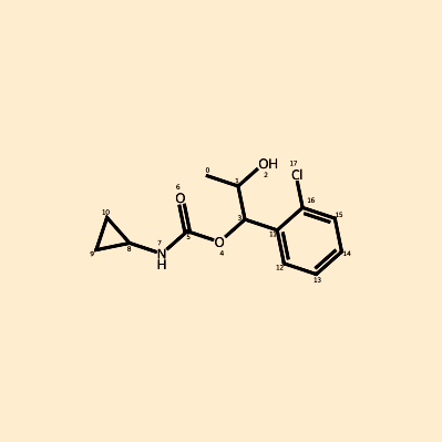 CC(O)C(OC(=O)NC1CC1)c1ccccc1Cl